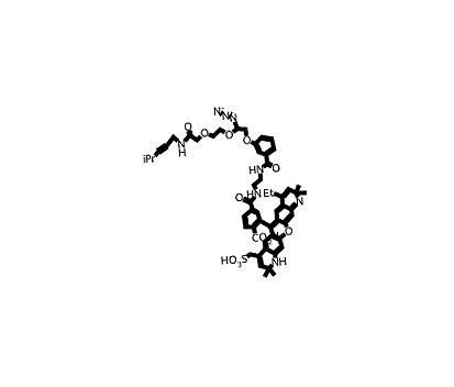 CCC1=CC(C)(C)N=c2cc3c(cc21)=C(c1cc(C(=O)NCCNC(=O)c2cccc(OCC(N=[N+]=[N-])OCCOCC(=O)NCC#CC(C)C)c2)ccc1C(=O)O)c1cc2c(cc1O3)NC(C)(C)C=C2CS(=O)(=O)O